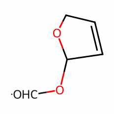 O=[C]OC1C=CCO1